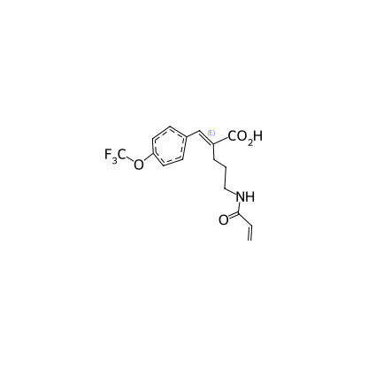 C=CC(=O)NCCC/C(=C\c1ccc(OC(F)(F)F)cc1)C(=O)O